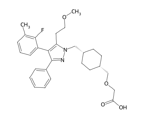 COCCc1c(-c2cccc(C)c2F)c(-c2ccccc2)nn1C[C@H]1CC[C@@H](COCC(=O)O)CC1